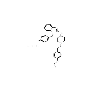 Cl.Cl.N#CCOc1ccc(CCN2CCC(Nc3nc4ccccc4n3Cc3ccc(F)cc3)CC2)cc1